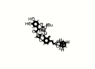 Cc1c(CCB2O[C@@H]3C[C@@H]4C[C@@H](C4(C)C)[C@]3(C)O2)ccc(OC2CN(C(=O)C(NC(=O)OC(C)(C)C)c3ccc(O)c(O)c3)C2)c1C(=O)OC(C)(C)C